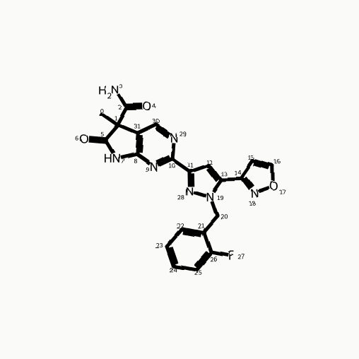 CC1(C(N)=O)C(=O)Nc2nc(-c3cc(-c4ccon4)n(Cc4ccccc4F)n3)ncc21